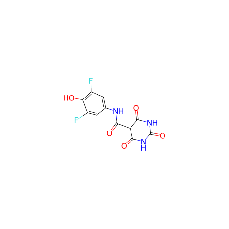 O=C1NC(=O)C(C(=O)Nc2cc(F)c(O)c(F)c2)C(=O)N1